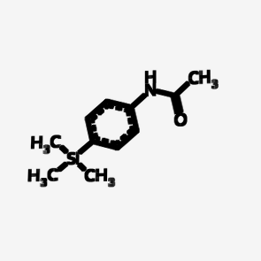 CC(=O)Nc1ccc([Si](C)(C)C)cc1